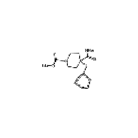 CNC(=O)C1(Oc2ccccc2)CCN(C(=O)OC(C)(C)C)CC1